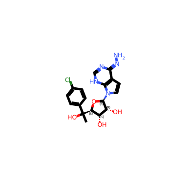 CC(O)(c1ccc(Cl)cc1)[C@H]1O[C@@H](n2ccc3c(=NN)nc[nH]c32)[C@H](O)[C@@H]1O